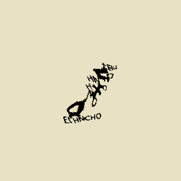 CCc1ccc(NC(=O)C(C)(C)C(=O)Nc2cc(C(C)(C)C)on2)cc1NC=O